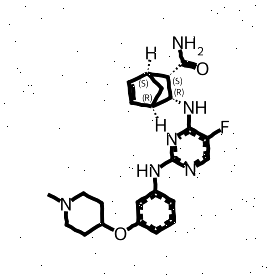 CN1CCC(Oc2cccc(Nc3ncc(F)c(N[C@H]4[C@@H](C(N)=O)[C@@H]5C=C[C@H]4C5)n3)c2)CC1